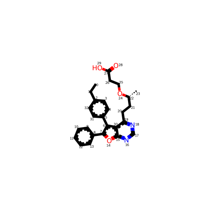 CCc1ccc(-c2c(-c3ccccc3)oc3ncnc(CC[C@@H](C)OCCC(=O)O)c23)cc1